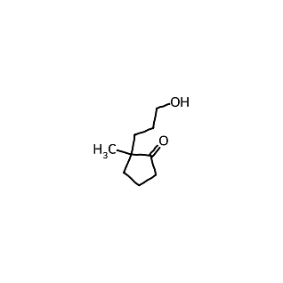 CC1(CCCO)CCCC1=O